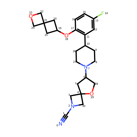 N#CN1CC2(CC(N3CCC(c4cc(F)ccc4OC4CC5(COC5)C4)CC3)CO2)C1